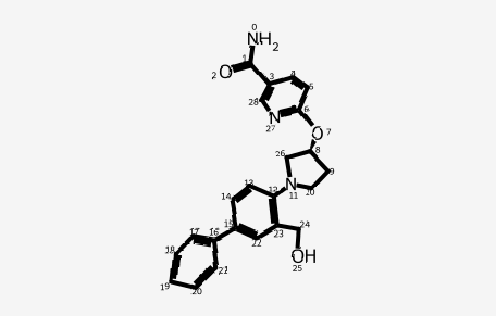 NC(=O)c1ccc(O[C@H]2CCN(c3ccc(-c4ccccc4)cc3CO)C2)nc1